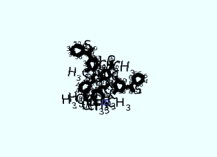 C/C=C\c1sc2c(c1CC(C)(C)C)B1c3c(cc(C(C)C)cc3N(c3c(C)cc(-c4csc5ccccc45)cc3C)c3sc4ccc(C(C)(C)C)cc4c31)N2c1c(C)cc(-c2csc3ccccc23)cc1C